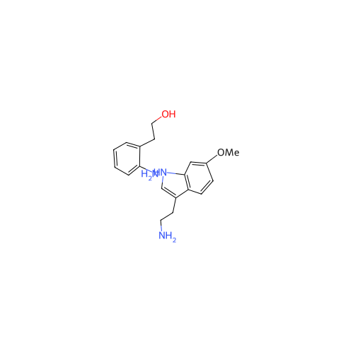 COc1ccc2c(CCN)c[nH]c2c1.Nc1ccccc1CCO